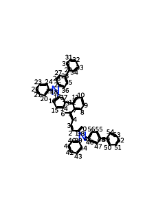 C=C(/C=C\C=C(/C)c1ccccc1C1C=CC=C(N(c2ccccc2)c2ccc(-c3ccccc3)cc2)C1)N(c1ccccc1)c1ccc(-c2ccccc2)cc1